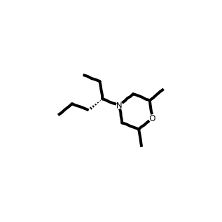 CCC[C@H](CC)N1CC(C)OC(C)C1